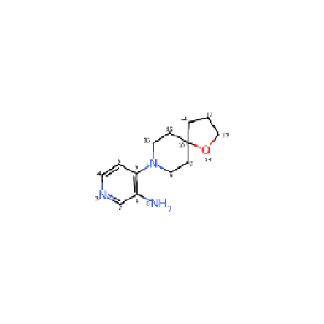 Nc1cnccc1N1CCC2(CCCO2)CC1